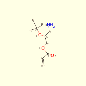 C=CC(=O)OCC(CN)OC(C)(C)C